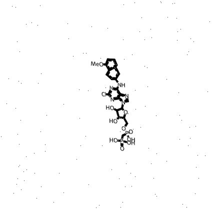 COc1cccc2cc(Nc3nc(Cl)nc4c3ncn4C3OC(COP(=O)(O)CP(=O)(O)O)C(O)C3O)ccc12